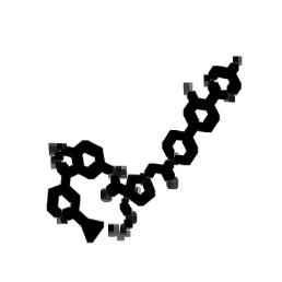 COC[C@@]1(C(=O)Nc2ccc3[nH]nc(-c4ccnc(C5CC5)c4)c3c2)CCN(CC(=O)N2CC=C(c3ccc(-c4ncc(F)cn4)c(F)c3)CC2)C1